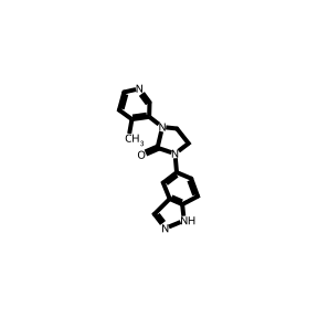 Cc1ccncc1N1CCN(c2ccc3[nH]ncc3c2)C1=O